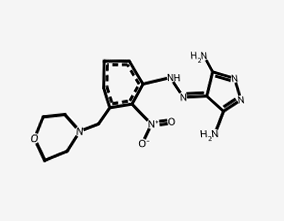 NC1=NN=C(N)C1=NNc1cccc(CN2CCOCC2)c1[N+](=O)[O-]